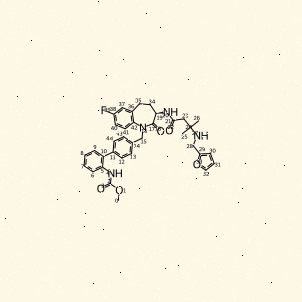 COC(=O)Nc1ccccc1-c1ccc(CN2C(=O)[C@H](NC(=O)CC(C)(C)NCc3ccco3)CCc3cc(F)ccc32)cc1